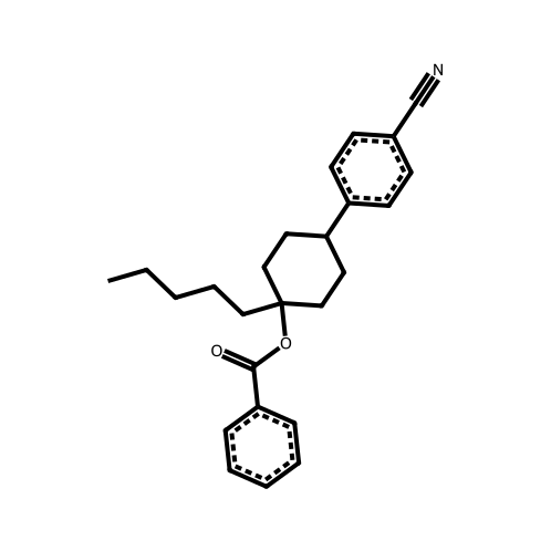 CCCCCC1(OC(=O)c2ccccc2)CCC(c2ccc(C#N)cc2)CC1